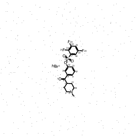 Br.CN1CCC(C(=O)c2cccc(OS(=O)(=O)c3cc(F)cc(F)c3F)c2)CC1